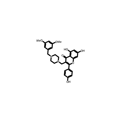 COc1cc(CN2CCN(Cc3c(-c4ccc(O)cc4)oc4cc(O)cc(O)c4c3=O)CC2)cc(OC)c1